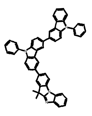 CC1(C)c2cc(-c3ccc4c(c3)c3cc(-c5ccc6c(c5)c5ccccc5n6-c5ccccc5)ccc3n4-c3ccccc3)ccc2-n2c1nc1ccccc12